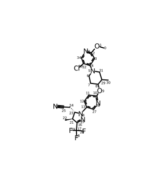 COc1cc(N2CCC(Oc3ccc(N4N=C(C(F)(F)F)[C@@H](C)[C@@H]4CC#N)cn3)C(C)C2)c(Cl)cn1